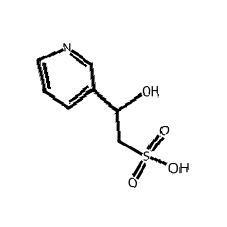 O=S(=O)(O)CC(O)c1cccnc1